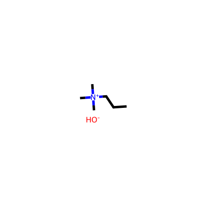 CCC[N+](C)(C)C.[OH-]